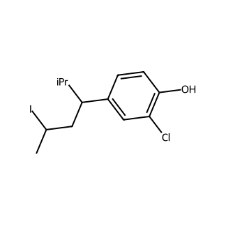 CC(I)CC(c1ccc(O)c(Cl)c1)C(C)C